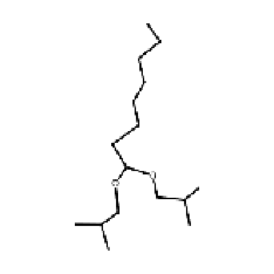 CCCCCCCC(OCC(C)C)OCC(C)C